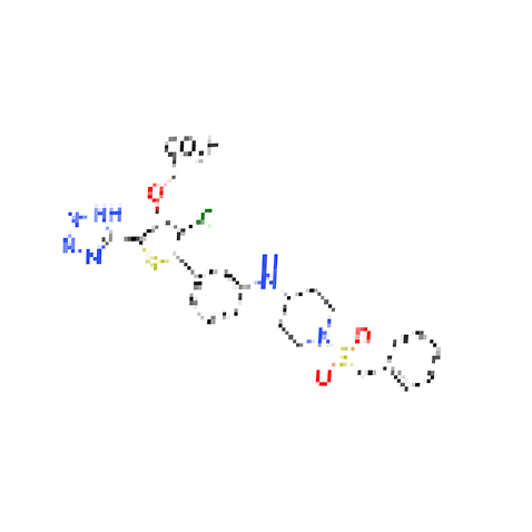 O=C(O)COc1c(-c2nnn[nH]2)sc(-c2cccc(NC3CCN(S(=O)(=O)Cc4ccccc4)CC3)c2)c1Cl